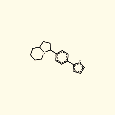 c1csc(-c2ccc(C3CCC4CCCCN43)cc2)c1